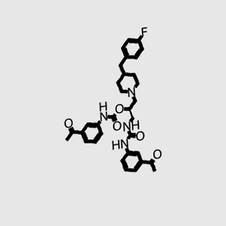 CC(=O)c1cccc(NC(=O)NC[C@H](CN2CCC(Cc3ccc(F)cc3)CC2)OC(=O)Nc2cccc(C(C)=O)c2)c1